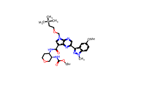 COc1ccc2c(c1)c(-c1cnc3c(n1)c(C(=O)N[C@@H]1CCOC[C@@H]1NC(=O)OC(C)(C)C)cn3COCC[Si](C)(C)C)nn2C